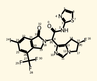 O=C(Nc1nccs1)[C@@H](c1ncn2c1C[C@@H](F)C2)N1Cc2c(cc(I)cc2C(F)(F)F)C1=O